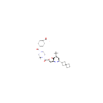 CC(C)(C)c1cc(C2CC3(CCC3)C2)nc2cc(C(=O)N3CCN(C(=O)[C@H]4CC[C@](C)(C(=O)O)CC4)CC3(C)C)oc12